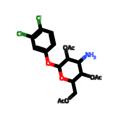 CC(=O)OCC1OC(Oc2ccc(Cl)c(Cl)c2)C(OC(C)=O)C(N)C1OC(C)=O